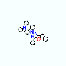 c1ccc(-c2nc(-n3c4ccccc4c4c3ccc3c5ccccc5n(-c5ccccc5)c34)nc3c2oc2c4ccccc4ccc32)cc1